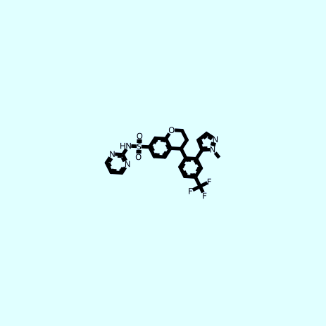 Cn1nccc1-c1cc(C(F)(F)F)ccc1C1CCOc2cc(S(=O)(=O)Nc3ncccn3)ccc21